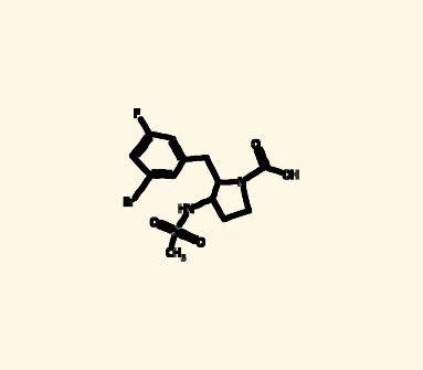 CS(=O)(=O)NC1CCN(C(=O)O)C1Cc1cc(F)cc(Br)c1